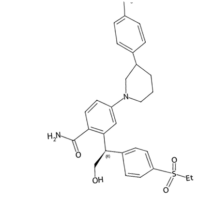 CCS(=O)(=O)c1ccc([C@@H](CO)c2cc(N3CCCC(c4ccc(C(F)(F)F)cc4)C3)ccc2C(N)=O)cc1